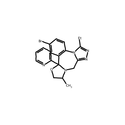 CCc1nnc2n1-c1ccc(Br)cc1C1(c3ccccn3)OCC(C)N1C2